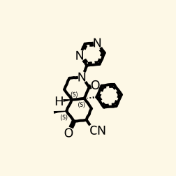 C[C@@H]1C(=O)C(C#N)C[C@]2(c3ccccc3)C(=O)N(c3ccncn3)CC[C@@H]12